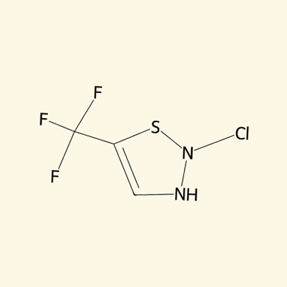 FC(F)(F)C1=CNN(Cl)S1